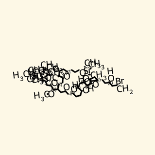 C=C(Br)C[C@H](O)CC[C@@]12CC3O[C@H]4C(O1)[C@H]1O[C@@H](CC(=O)CC5[C@@H](OC)C(CC(CO[Si](C)(C)C(C)(C)C)O[Si](C)(C)C(C)(C)C)O[C@H]5CC5O[C@@H](CCCO[Si](CC)(CC)CC)CC(C)C5=C)CCC1O[C@H]4C3O2